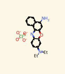 CC[N+](CC)=c1ccc2nc3c(cc(N)c4ccccc43)oc-2c1.[O-][Cl+3]([O-])([O-])[O-]